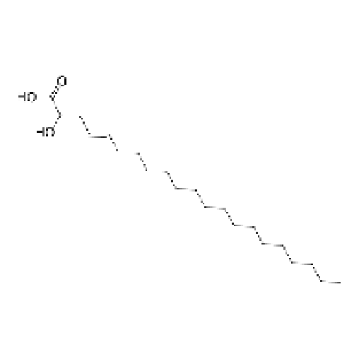 CCCCCCCCCCCCCCCCC=CCC(O)C(=O)O